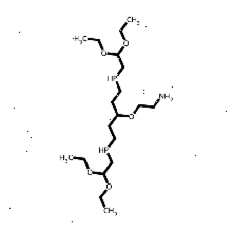 CCOC(CPCCC(CCPCC(OCC)OCC)OCCN)OCC